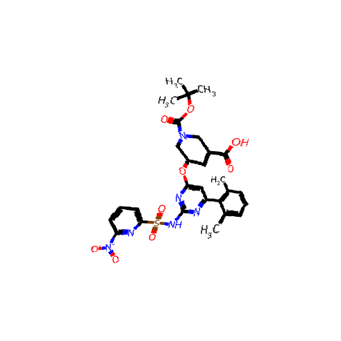 Cc1cccc(C)c1-c1cc(OC2CC(C(=O)O)CN(C(=O)OC(C)(C)C)C2)nc(NS(=O)(=O)c2cccc([N+](=O)[O-])n2)n1